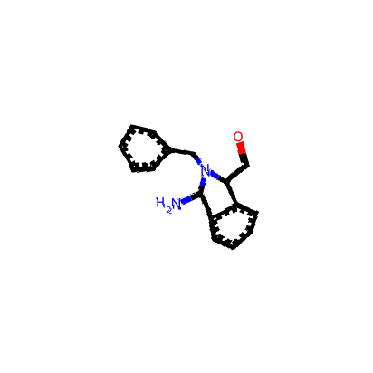 NC1c2ccccc2C(C=O)N1Cc1ccccc1